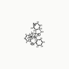 O=C1C2c3cccc(Br)c3[N+]1(c1ccccc1)C21OCc2ccncc21